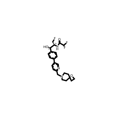 O=C(N[C@H](CF)[C@H](O)c1ccc(-c2ccc(CN3CCC4(CCO4)CC3)nc2)cc1)C(F)F